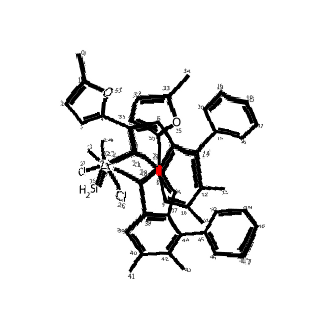 Cc1ccc(C2=Cc3c(cc(C)c(C)c3-c3ccccc3)[CH]2[Zr]([CH3])([CH3])(=[SiH2])([Cl])([Cl])[CH]2C(c3ccc(C)o3)=Cc3c2cc(C)c(C)c3-c2ccccc2)o1